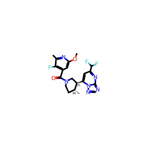 COc1cc(C(=O)N2CC[C@@H](C)[C@H](c3cc(C(F)F)nc4ncnn34)C2)c(F)c(C)n1